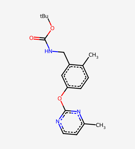 Cc1ccnc(Oc2ccc(C)c(CNC(=O)OC(C)(C)C)c2)n1